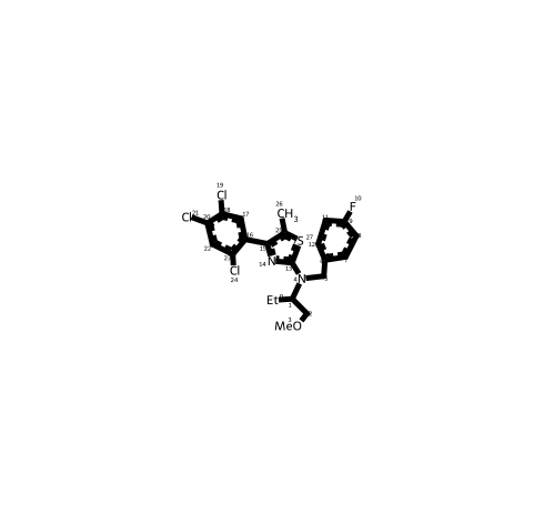 CCC(COC)N(Cc1ccc(F)cc1)c1nc(-c2cc(Cl)c(Cl)cc2Cl)c(C)s1